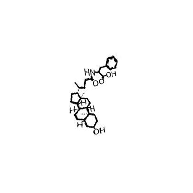 CC(CCC(=O)NC(Cc1ccccc1)C(=O)O)[C@H]1CC[C@H]2[C@@H]3CC[C@@H]4C[C@H](O)CC[C@]4(C)[C@H]3CC[C@]12C